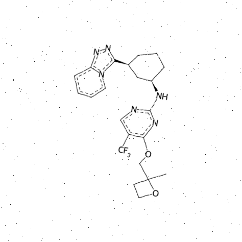 CC1(COc2nc(N[C@@H]3CCC[C@H](c4nnc5ccccn45)C3)ncc2C(F)(F)F)CCO1